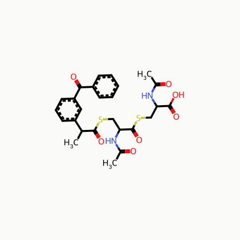 CC(=O)NC(CSC(=O)C(CSC(=O)C(C)c1cccc(C(=O)c2ccccc2)c1)NC(C)=O)C(=O)O